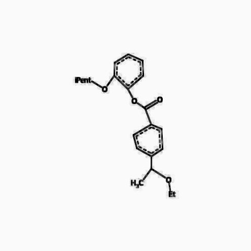 CCCC(C)Oc1ccccc1OC(=O)c1ccc(C(C)OCC)cc1